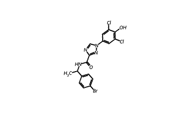 CC(NC(=O)c1ncn(-c2cc(Cl)c(O)c(Cl)c2)n1)c1ccc(Br)cc1